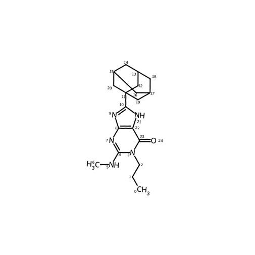 CCCn1c(NC)nc2nc(C34CC5CC(CC(C5)C3)C4)[nH]c2c1=O